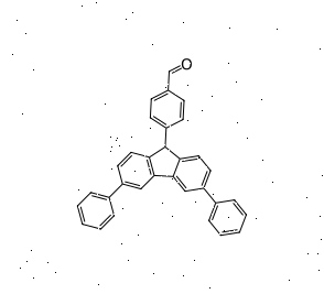 O=Cc1ccc(C2c3ccc(-c4ccccc4)cc3-c3cc(-c4ccccc4)ccc32)cc1